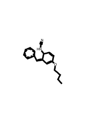 CCCCOC1=CC(=Cc2ccccc2)C(NC#N)C=C1